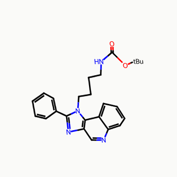 CC(C)(C)OC(=O)NCCCCn1c(-c2ccccc2)nc2cnc3ccccc3c21